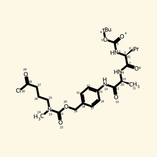 CC(C)[C@H](NC(=O)OC(C)(C)C)C(=O)N[C@@H](C)C(=O)Nc1ccc(COC(=O)N(C)CCCC(=O)Cl)cc1